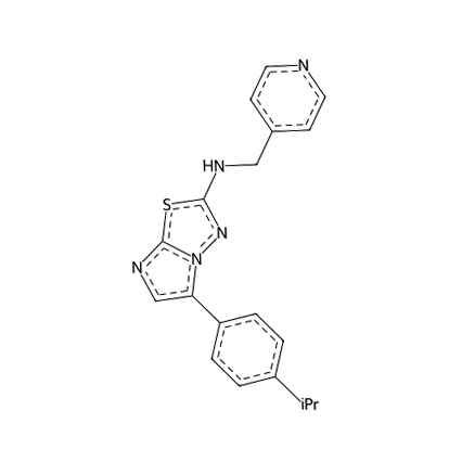 CC(C)c1ccc(-c2cnc3sc(NCc4ccncc4)nn23)cc1